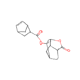 O=C(OC1=C2OC(=O)C3CC1CC23)C1CC2C=CC1C2